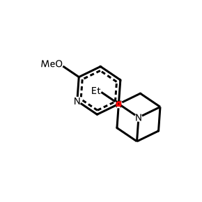 CCN1CC2CC(C1)N2c1ccc(OC)nc1